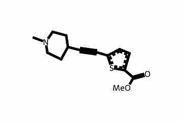 COC(=O)c1ccc(C#CC2CCN(C)CC2)s1